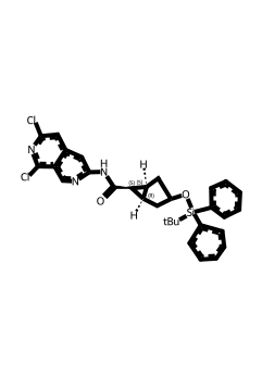 CC(C)(C)[Si](OC1C[C@@H]2[C@H](C1)[C@@H]2C(=O)Nc1cc2cc(Cl)nc(Cl)c2cn1)(c1ccccc1)c1ccccc1